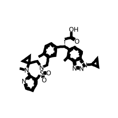 Cc1ccc([C@H](CC(=O)O)c2ccc3c(nnn3C3CC3)c2C)cc1CN1CC2(CC2)N(C)c2ncccc2S1(=O)=O